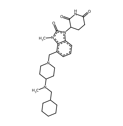 CN(CC1CCCCC1)C1CCN(Cc2cccc3c2n(C)c(=O)n3C2CCC(=O)NC2=O)CC1